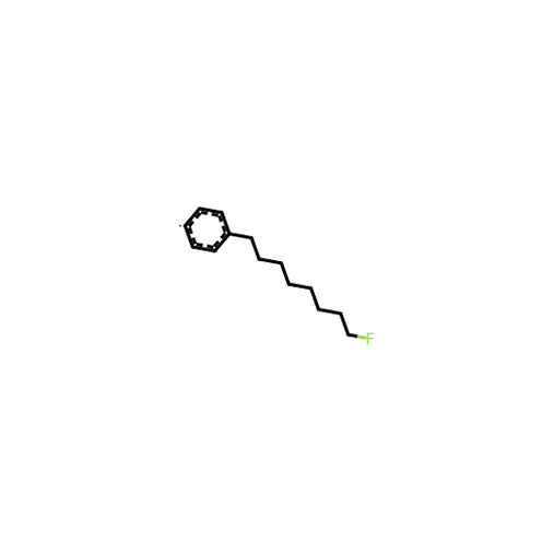 FCCCCCCCCc1cc[c]cc1